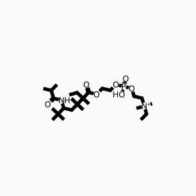 CCC(C)(C(=O)OCCOP(=O)(O)OCC[N+](C)(C)CC)C(C)(C)CC(NC(=O)C(C)C)C(C)(C)C